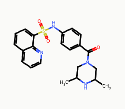 CC1CN(C(=O)c2ccc(NS(=O)(=O)c3cccc4cccnc34)cc2)CC(C)N1